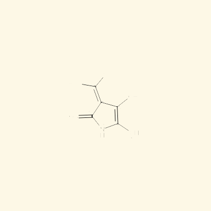 CC(O)=C1C(=O)NC(C)=C1C